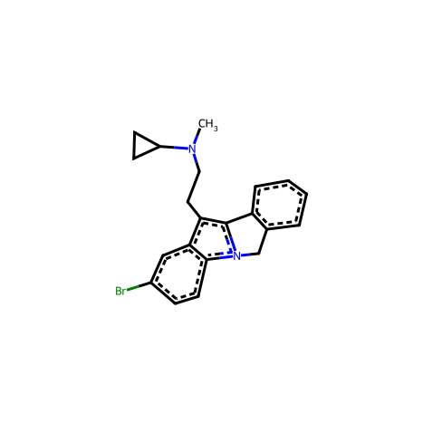 CN(CCc1c2n(c3ccc(Br)cc13)Cc1ccccc1-2)C1CC1